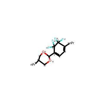 CCCC1=CC=C(C2OCC(CCC)CO2)C(F)(F)C1(F)F